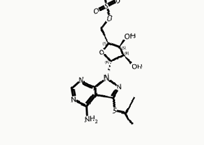 CC(C)Sc1nn([C@@H]2O[C@@H](COS(N)(=O)=O)[C@@H](O)[C@H]2O)c2ncnc(N)c12